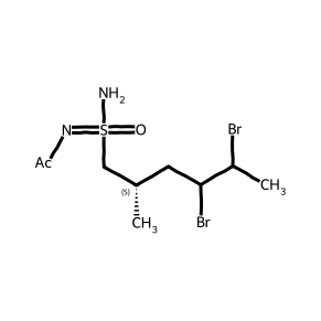 CC(=O)N=S(N)(=O)C[C@@H](C)CC(Br)C(C)Br